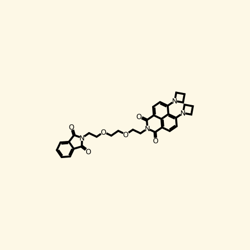 O=C1c2ccccc2C(=O)N1CCOCCOCCN1C(=O)c2ccc(N3CCC3)c3c(N4CCC4)ccc(c23)C1=O